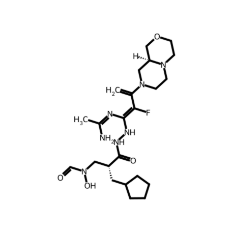 C=C(/C(F)=C(\N=C(\C)N)NNC(=O)[C@H](CC1CCCC1)CN(O)C=O)N1CCN2CCOC[C@@H]2C1